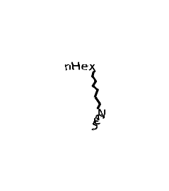 CCCCCCCCCCCCCCN=C=S